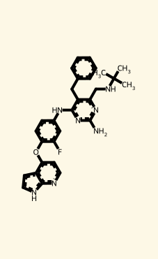 CC(C)(C)NCc1nc(N)nc(Nc2ccc(Oc3ccnc4[nH]ccc34)c(F)c2)c1Cc1ccccc1